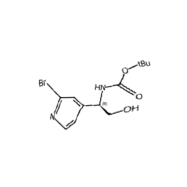 CC(C)(C)OC(=O)N[C@@H](CO)c1ccnc(Br)c1